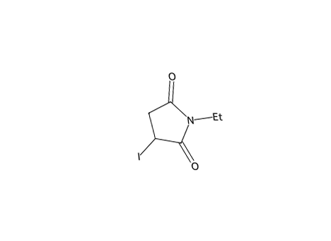 CCN1C(=O)CC(I)C1=O